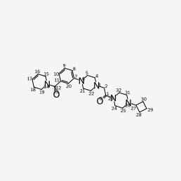 O=C(CN1CCN(c2cccc(C(=O)N3CC=CCC3)c2)CC1)N1CCN(C2CCC2)CC1